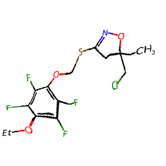 CCOc1c(F)c(F)c(OCSC2=NOC(C)(CCl)C2)c(F)c1F